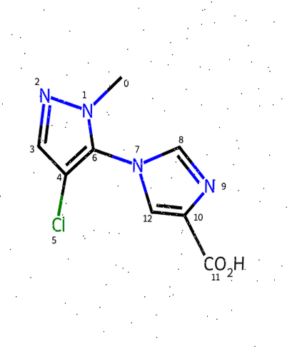 Cn1ncc(Cl)c1-n1cnc(C(=O)O)c1